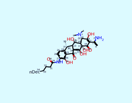 C=C(N)C1=C(O)[C@@H](N(C)C)C2[C@@H](O)C3C(=C(O)[C@]2(O)C1=O)C(=O)c1c(ccc(NC(=O)CCCCCCCCCCCCC)c1O)[C@@H]3C